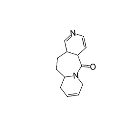 O=C1C2C=CN=CC2CCC2CC=CCN12